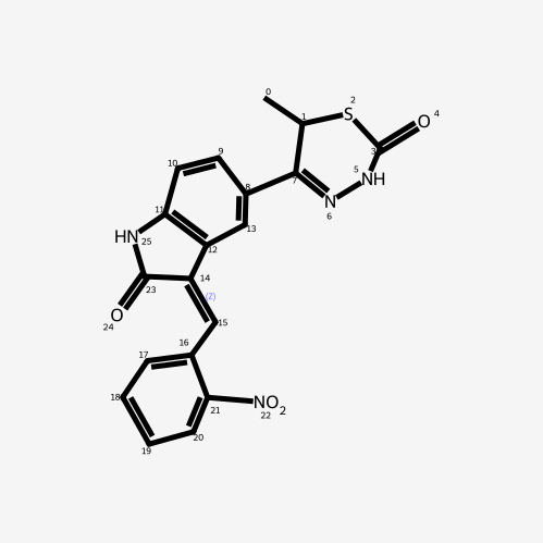 CC1SC(=O)NN=C1c1ccc2c(c1)/C(=C/c1ccccc1[N+](=O)[O-])C(=O)N2